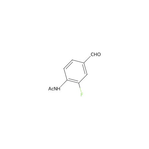 CC(=O)Nc1ccc(C=O)cc1F